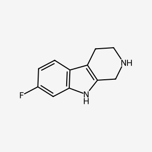 Fc1ccc2c3c([nH]c2c1)CNCC3